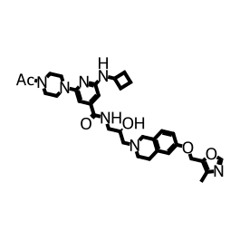 CC(=O)N1CCN(c2cc(C(=O)NC[C@H](O)CN3CCc4cc(OCc5ocnc5C)ccc4C3)cc(NC3CCC3)n2)CC1